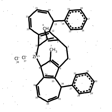 CC1=C2CCC3=C(C)[CH]([Zr+2][CH]1C1=C2C(c2ccccc2)C=CC=C1)C1=C3C(c2ccccc2)C=CC=C1.[Cl-].[Cl-]